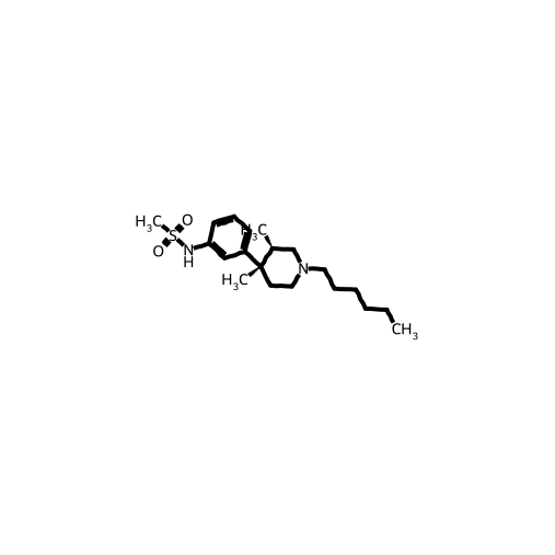 CCCCCCN1CC[C@](C)(c2cccc(NS(C)(=O)=O)c2)[C@@H](C)C1